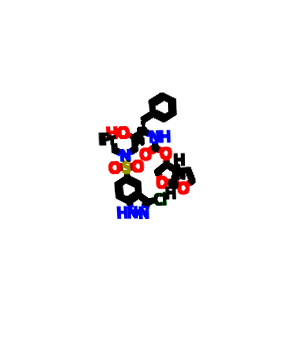 CC(C)CN(C[C@@H](O)[C@H](Cc1ccccc1)NC(=O)OC1CO[C@H]2OCC[C@@H]12)S(=O)(=O)c1ccc2[nH]nc(Cl)c2c1